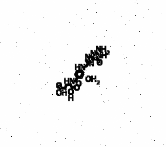 Nc1nc2ncc(CNc3ccc(C(=O)NC(CCC(=O)O)C(=O)O)cc3)nc2c(=O)[nH]1.O